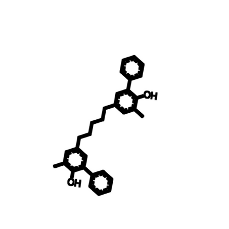 Cc1cc(CCCCCc2cc(C)c(O)c(-c3ccccc3)c2)cc(-c2ccccc2)c1O